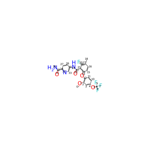 COc1cc(OC(F)(F)F)ccc1Oc1ccc(C)c(F)c1C(=O)Nc1ccc(C(N)=O)nc1